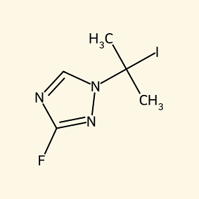 CC(C)(I)n1cnc(F)n1